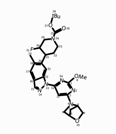 COc1nc(N2CC3CC2CO3)cc(-n2ncc3cc(C)c(C4CCN(C(=O)OC(C)(C)C)CC4F)cc32)n1